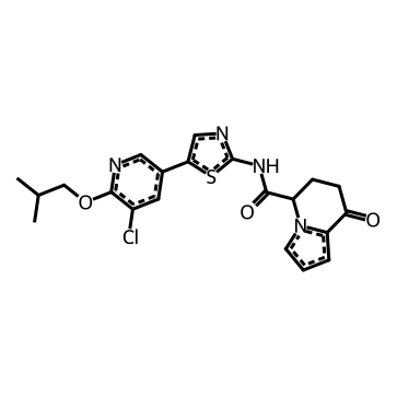 CC(C)COc1ncc(-c2cnc(NC(=O)C3CCC(=O)c4cccn43)s2)cc1Cl